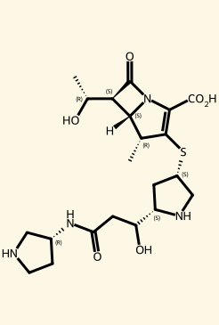 C[C@@H](O)[C@H]1C(=O)N2C(C(=O)O)=C(S[C@@H]3CN[C@H](C(O)CC(=O)N[C@@H]4CCNC4)C3)[C@H](C)[C@H]12